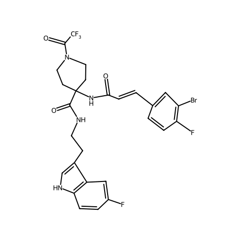 O=C(C=Cc1ccc(F)c(Br)c1)NC1(C(=O)NCCc2c[nH]c3ccc(F)cc23)CCN(C(=O)C(F)(F)F)CC1